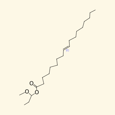 CCCCCCCC/C=C/CCCCCCCC(=O)OC(CC)OC